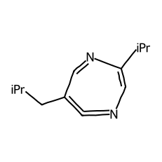 CC(C)CC1=C=NC=C(C(C)C)N=C1